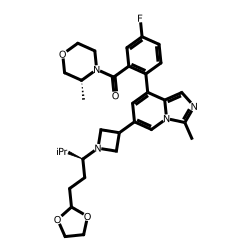 Cc1ncc2c(-c3ccc(F)cc3C(=O)N3CCOC[C@H]3C)cc(C3CN([C@@H](CCC4OCCO4)C(C)C)C3)cn12